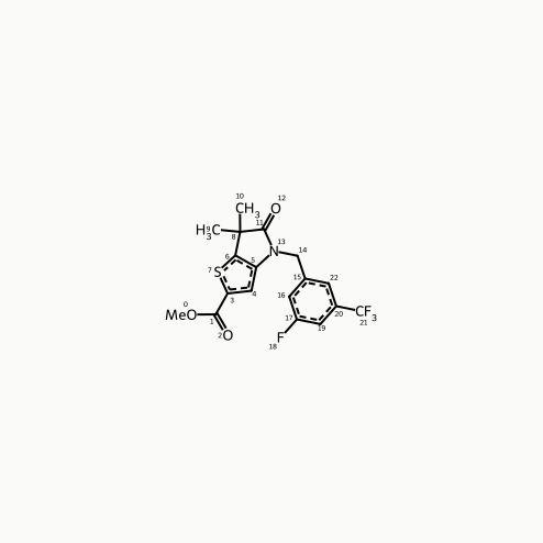 COC(=O)c1cc2c(s1)C(C)(C)C(=O)N2Cc1cc(F)cc(C(F)(F)F)c1